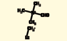 C[N+](C)(C)C=O.[CH2]CC